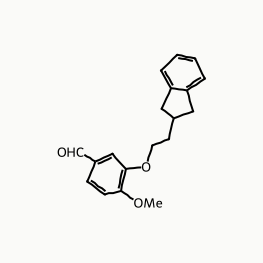 COc1ccc(C=O)cc1OCCC1Cc2ccccc2C1